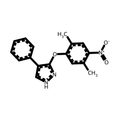 Cc1cc([N+](=O)[O-])c(C)cc1Oc1n[nH]cc1-c1ccccc1